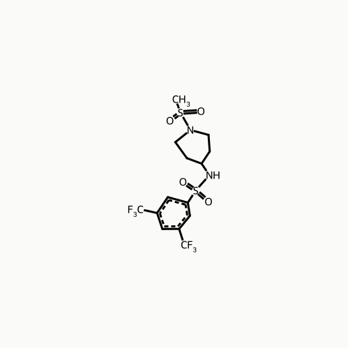 CS(=O)(=O)N1CCC(NS(=O)(=O)c2cc(C(F)(F)F)cc(C(F)(F)F)c2)CC1